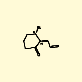 C=CC[C@H]1C(=O)CCC[C@@H]1CC